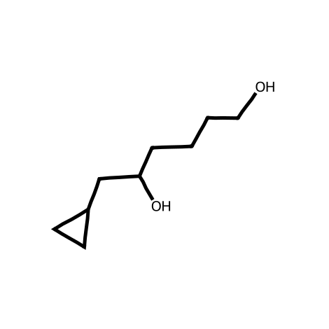 OCCCCC(O)CC1CC1